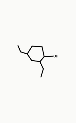 CCC1CCC(O)C(CC)C1